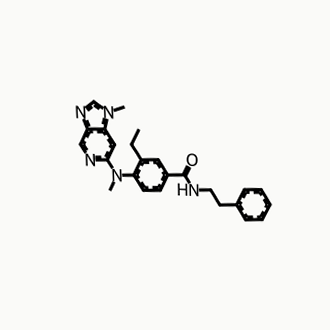 CCc1cc(C(=O)NCCc2ccccc2)ccc1N(C)c1cc2c(cn1)ncn2C